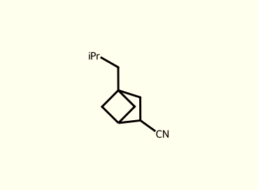 CC(C)CC12CC(C#N)C(C1)C2